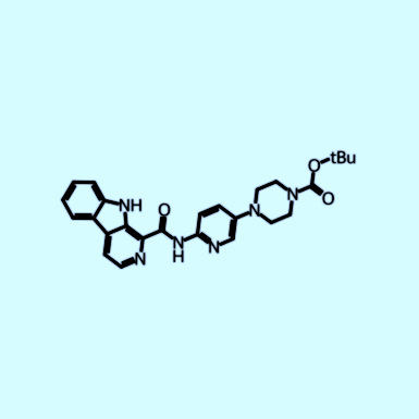 CC(C)(C)OC(=O)N1CCN(c2ccc(NC(=O)c3nccc4c3[nH]c3ccccc34)nc2)CC1